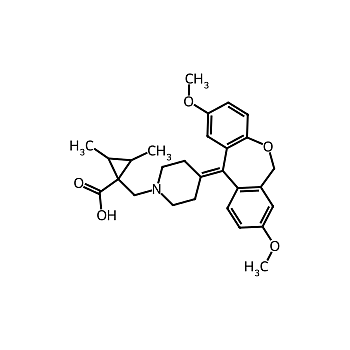 COc1ccc2c(c1)COc1ccc(OC)cc1C2=C1CCN(CC2(C(=O)O)C(C)C2C)CC1